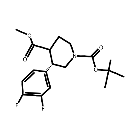 COC(=O)C1CCN(C(=O)OC(C)(C)C)C[C@@H]1c1ccc(F)c(F)c1